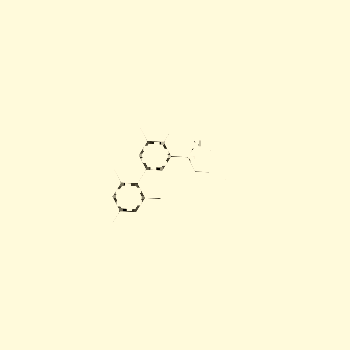 CCOC(=O)C[C@H](N)c1cc(-c2c(C)cc(C)cc2C)cc(C)c1F